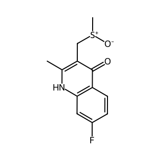 Cc1[nH]c2cc(F)ccc2c(=O)c1C[S+](C)[O-]